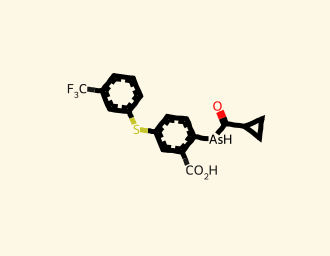 O=C(O)c1cc(Sc2cccc(C(F)(F)F)c2)ccc1[AsH]C(=O)C1CC1